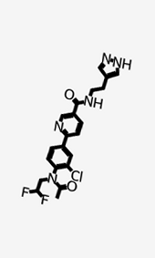 CC(=O)N(CC(F)F)c1ccc(-c2ccc(C(=O)NCCc3cn[nH]c3)cn2)cc1Cl